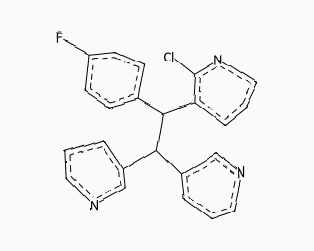 Fc1ccc(C(c2cccnc2Cl)C(c2cccnc2)c2cccnc2)cc1